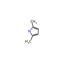 CC1=CC=C(C)[N]1